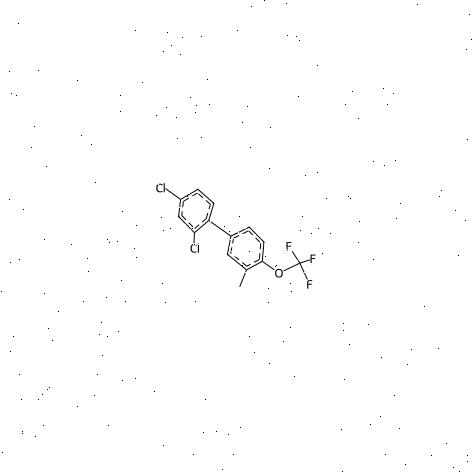 Cc1cc(-c2ccc(Cl)cc2Cl)ccc1OC(F)(F)F